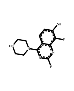 Fc1nc(N2CCNCC2)c2ccc(S)c(F)c2n1